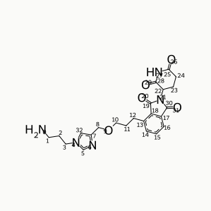 NCCCn1cnc(COCCCc2cccc3c2C(=O)N(C2CCC(=O)NC2=O)C3=O)c1